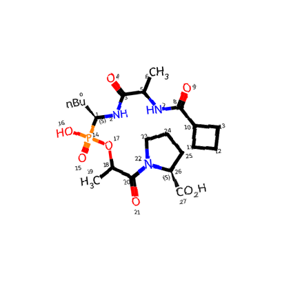 CCCC[C@@H](NC(=O)C(C)NC(=O)C1CCC1)P(=O)(O)OC(C)C(=O)N1CCC[C@H]1C(=O)O